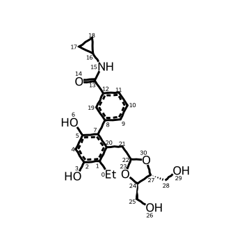 CCc1c(O)cc(O)c(-c2cccc(C(=O)NC3CC3)c2)c1CC1O[C@H](CO)[C@@H](CO)O1